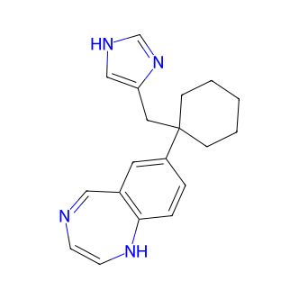 C1=CNc2ccc(C3(Cc4c[nH]cn4)CCCCC3)cc2C=N1